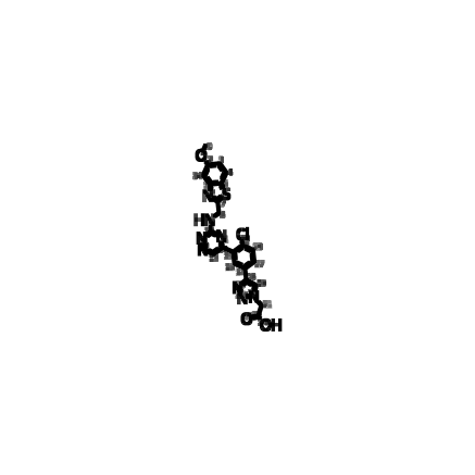 COc1ccc2sc(CNc3nncc(-c4cc(-c5cn(CC(=O)O)nn5)ccc4Cl)n3)nc2c1